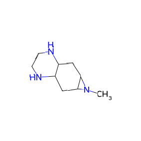 CN1C2CC3NCCNC3CC21